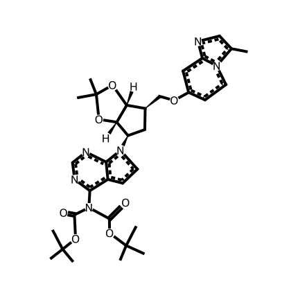 Cc1cnc2cc(OC[C@H]3C[C@@H](n4ccc5c(N(C(=O)OC(C)(C)C)C(=O)OC(C)(C)C)ncnc54)[C@@H]4OC(C)(C)O[C@H]34)ccn12